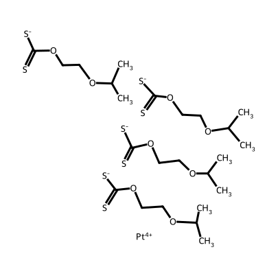 CC(C)OCCOC(=S)[S-].CC(C)OCCOC(=S)[S-].CC(C)OCCOC(=S)[S-].CC(C)OCCOC(=S)[S-].[Pt+4]